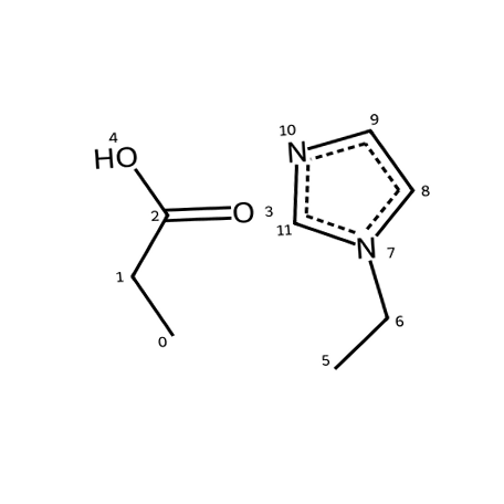 CCC(=O)O.CCn1ccnc1